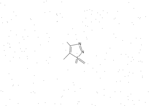 C=S1(=C)N=NC(C)=C1C